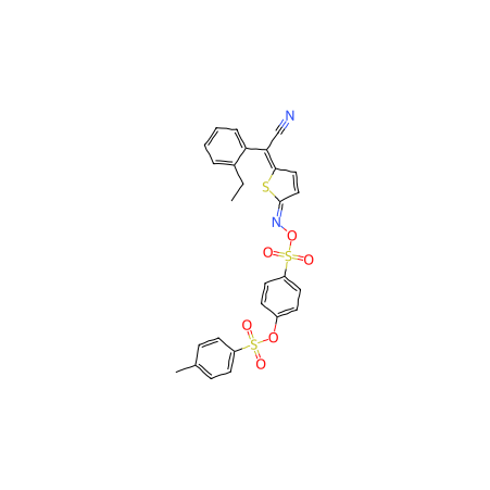 CCc1ccccc1C(C#N)=C1C=CC(=NOS(=O)(=O)c2ccc(OS(=O)(=O)c3ccc(C)cc3)cc2)S1